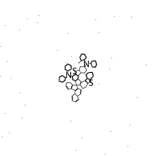 Cc1ccccc1N(c1ccccc1)C1CCC2c3c(c(N(c4ccccc4)c4ccccc4)cc4c3C3=C(CCc5sc6ccccc6c53)C43C4=C(C5=C3CCC=C5)C3C=CC=CC3C=C4)SC2C1